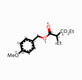 CCOC(=O)C(CC)C(=O)OCc1ccc(OC)cc1